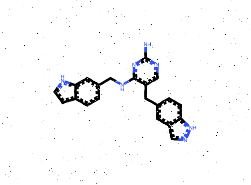 Nc1ncc(Cc2ccc3[nH]ncc3c2)c(NCc2ccc3cc[nH]c3c2)n1